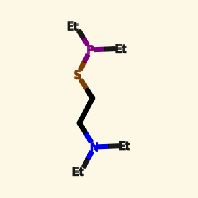 CCN(CC)CCSP(CC)CC